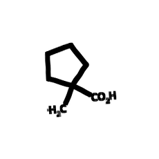 [CH2]C1(C(=O)O)CCCC1